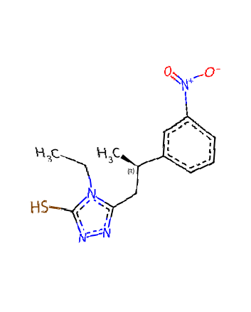 CCn1c(S)nnc1C[C@@H](C)c1cccc([N+](=O)[O-])c1